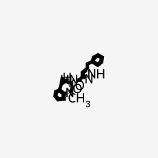 CN1C(=O)[C@H](NC(=O)c2cc(Cc3ccccc3)[nH]n2)[C@@H]2CC2c2ccccc21